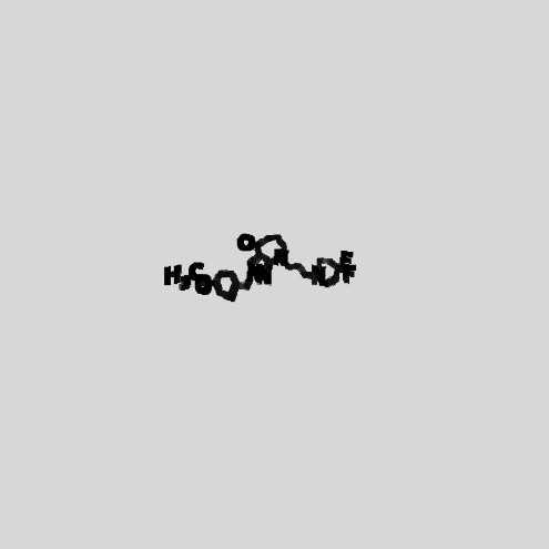 COc1ccc(Cn2cc3c(n2)N(CCCN2CCC(F)(F)CC2)CCCC3=O)cc1